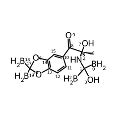 BC(B)(O)N[C@@](C)(O)C(=O)c1ccc2c(c1)OC(B)(B)O2